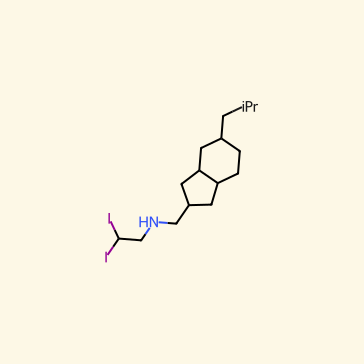 CC(C)CC1CCC2CC(CNCC(I)I)CC2C1